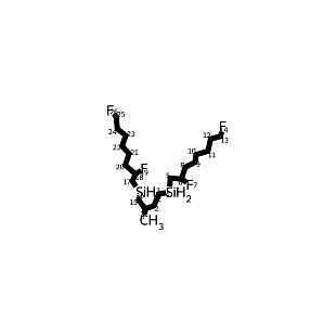 CC(CC[SiH2]CC(F)CCCCCCF)C[SiH2]CC(F)CCCCCCF